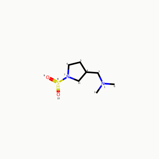 CN(C)CC1CCN([SH](=O)=O)C1